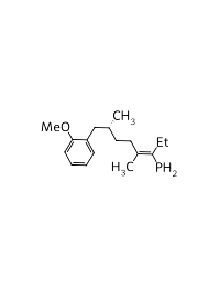 CC/C(P)=C(/C)CC[C@@H](C)Cc1ccccc1OC